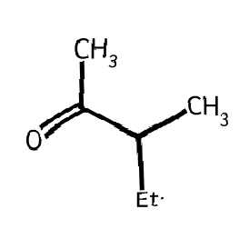 C[CH]C(C)C(C)=O